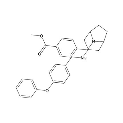 COC(=O)c1ccc(CN2C3CCC2CC(NCc2ccc(Oc4ccccc4)cc2)C3)cc1